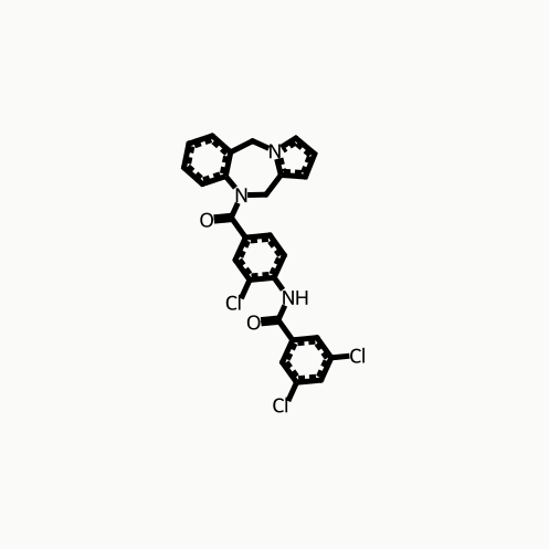 O=C(Nc1ccc(C(=O)N2Cc3cccn3Cc3ccccc32)cc1Cl)c1cc(Cl)cc(Cl)c1